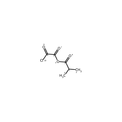 CC(C)C(=O)OC(=O)C(=O)Cl